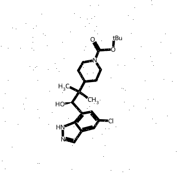 CC(C)(C)OC(=O)N1CCC(C(C)(C)[C@H](O)c2cc(Cl)cc3cn[nH]c23)CC1